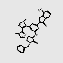 Cn1cnnc1-c1cnn(C)c1-c1cc(NC2CCN(Cc3ccccc3)C2=O)nc(N2Cc3c(cccc3C(F)(F)F)C2=O)c1